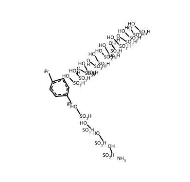 CC(C)c1ccc(C(C)C)cc1.N.O=S(=O)(O)O.O=S(=O)(O)O.O=S(=O)(O)O.O=S(=O)(O)O.O=S(=O)(O)O.O=S(=O)(O)O.O=S(=O)(O)O.O=S(=O)(O)O.O=S(=O)(O)O.O=S(=O)(O)O.O=S(=O)(O)O.O=S(=O)(O)O.O=S(=O)(O)O.O=S(=O)(O)O.O=S(=O)(O)O.O=S(=O)(O)O.O=S(=O)(O)O.O=S(=O)(O)O